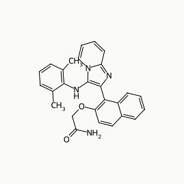 Cc1cccc(C)c1Nc1c(-c2c(OCC(N)=O)ccc3ccccc23)nc2ccccn12